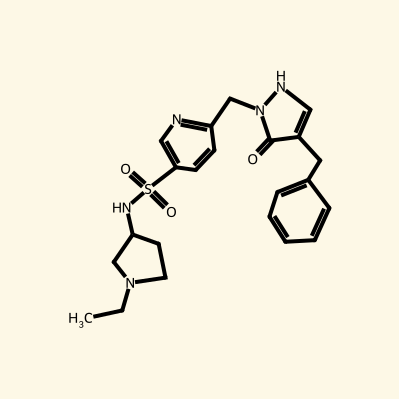 CCN1CCC(NS(=O)(=O)c2ccc(Cn3[nH]cc(Cc4ccccc4)c3=O)nc2)C1